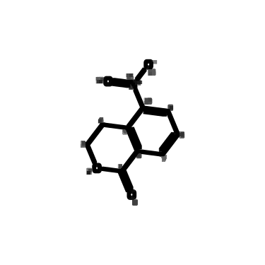 O=C1OCCc2c1cccc2[N+](=O)[O-]